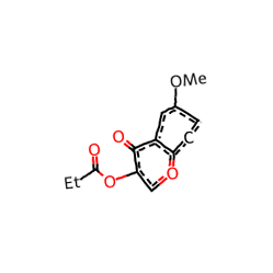 CCC(=O)Oc1coc2ccc(OC)cc2c1=O